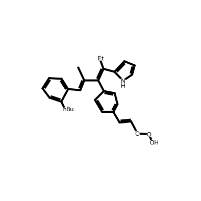 CCCCc1ccccc1/C=C(C)/C(=C(\CC)c1ccc[nH]1)c1ccc(/C=C/OOO)cc1